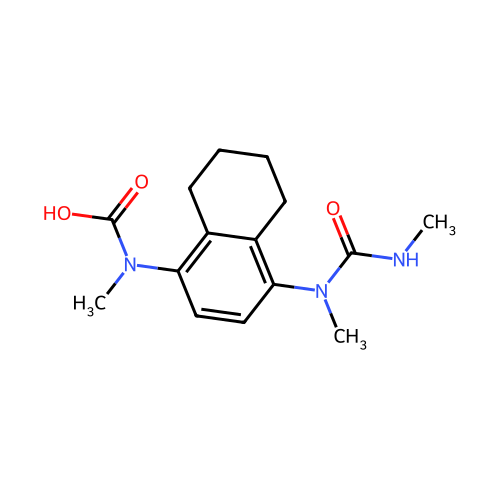 CNC(=O)N(C)c1ccc(N(C)C(=O)O)c2c1CCCC2